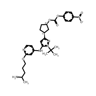 CC(N)CCCOc1cc(Nc2cc([C@H]3CC[C@@H](OC(=O)Oc4ccc([N+](=O)[O-])cc4)C3)nn2C(C)(C)C)ccn1